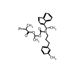 Cc1cccc(CCCN(C(=O)OC(C)OC(=O)C(C)C(C)C)[C@H](C)c2cccc3ccccc23)c1